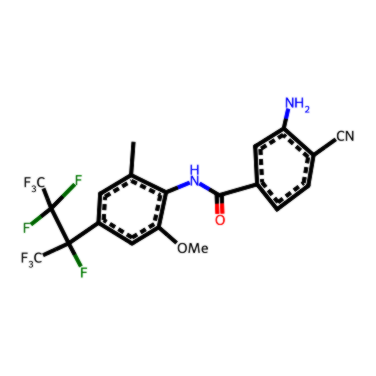 COc1cc(C(F)(C(F)(F)F)C(F)(F)C(F)(F)F)cc(C)c1NC(=O)c1ccc(C#N)c(N)c1